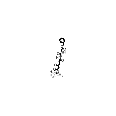 CC(C)(C)OC(=O)CC(=O)CCC(=O)NCC(=O)NCC(=O)OCc1ccccc1